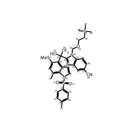 CSc1cc(C)c2c(ccn2S(=O)(=O)c2ccc(C)cc2)c1C(O)(c1nc2cc(C#N)ccc2n1COCC[Si](C)(C)C)C(F)(F)F